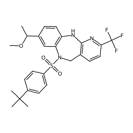 COC(C)c1ccc2c(c1)N(S(=O)(=O)c1ccc(C(C)(C)C)cc1)Cc1ccc(C(F)(F)F)nc1N2